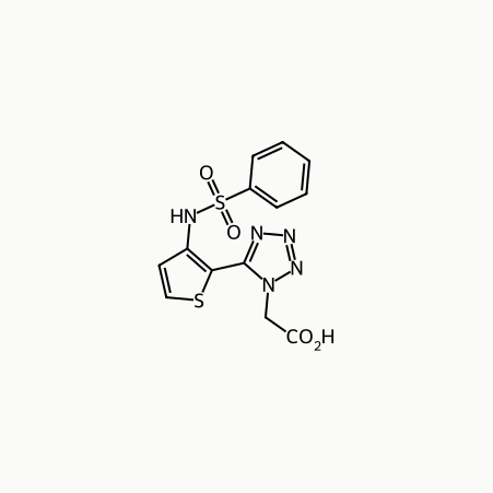 O=C(O)Cn1nnnc1-c1sccc1NS(=O)(=O)c1ccccc1